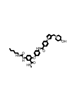 CCCCCNC(=O)Nc1ccc(Oc2ccc(NC(=O)c3ccc(-n4ccc(CN5CCC(O)CC5)c4)cc3)cc2)c(C(=O)NC)c1